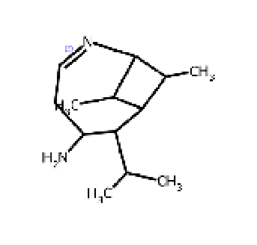 CC(C)C1C(N)C/C=N\C2C(C)C1C2C